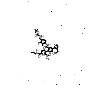 CCCNC(=O)c1ccc(-c2cc3c(cc2C(=O)Nc2ccc(CNC(=O)OC(C)(C)C)c(F)c2C)-c2sccc2CCO3)c(C(=O)OC)n1